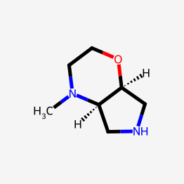 CN1CCO[C@H]2CNC[C@H]21